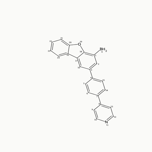 Bc1cc(-c2ccc(-c3ccncc3)cc2)cc2c1oc1ccccc12